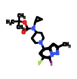 Cc1cc2c(N3CCC(N(C(=O)OC(C)(C)C)C4CC4)CC3)cc(F)c(I)n2n1